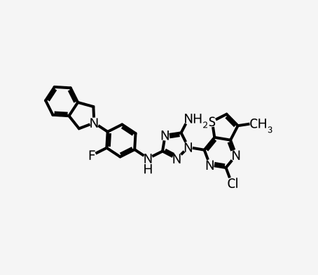 Cc1csc2c(-n3nc(Nc4ccc(N5Cc6ccccc6C5)c(F)c4)nc3N)nc(Cl)nc12